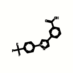 O=C(O)c1cccc(-c2cnn(-c3ccc(C(F)(F)F)cc3)c2)c1